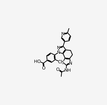 CC(=O)Nc1nc2c(s1)-c1c(c(-c3ccc(C)nc3)nn1-c1ccc(C(=O)O)cc1Cl)CC2